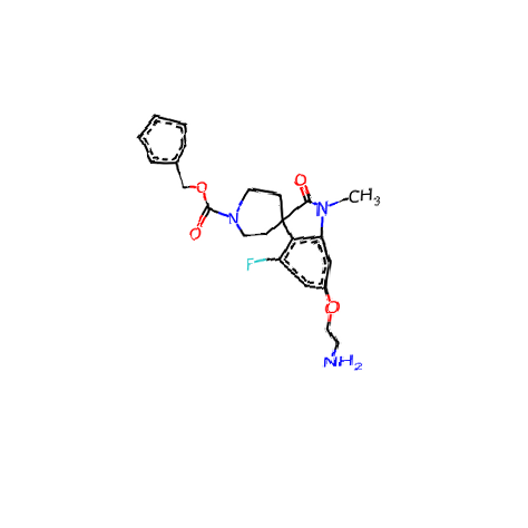 CN1C(=O)C2(CCN(C(=O)OCc3ccccc3)CC2)c2c(F)cc(OCCN)cc21